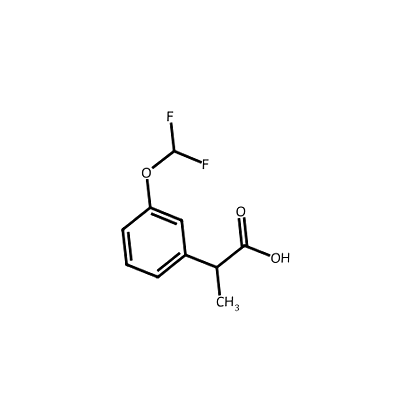 CC(C(=O)O)c1cccc(OC(F)F)c1